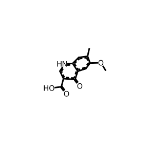 COc1cc2c(=O)c(C(=O)O)c[nH]c2cc1C